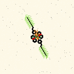 FC(F)(F)C(F)(F)C(F)(F)C(F)(F)C(F)(F)C(F)(F)CCc1ccc([PH](c2ccccc2)(c2ccccc2)[Pt]([Cl])([Cl])[PH](c2ccccc2)(c2ccccc2)c2ccc(CCC(F)(F)C(F)(F)C(F)(F)C(F)(F)C(F)(F)C(F)(F)F)cc2)cc1